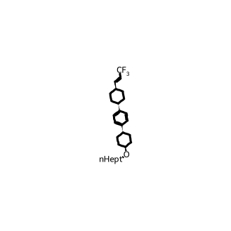 CCCCCCCO[C@H]1CC[C@H](c2ccc([C@H]3CC[C@H](C=CC(F)(F)F)CC3)cc2)CC1